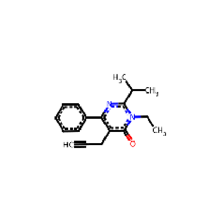 C#CCc1c(-c2ccccc2)nc(C(C)C)n(CC)c1=O